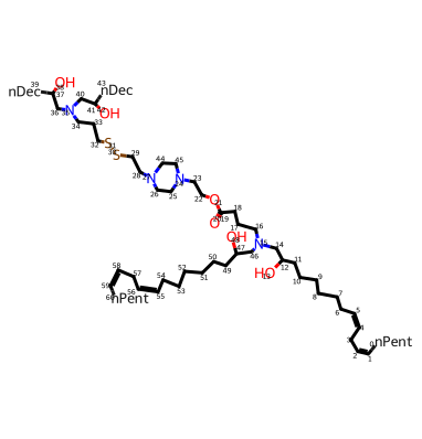 CCCCC/C=C\C/C=C\CCCCCCC(O)CN(CCCC(=O)OCCN1CCN(CCSSCCCN(CC(O)CCCCCCCCCC)CC(O)CCCCCCCCCC)CC1)CC(O)CCCCCC/C=C\C/C=C\CCCCC